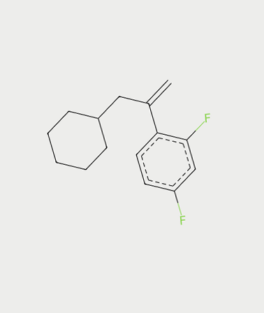 C=C(CC1CCCCC1)c1ccc(F)cc1F